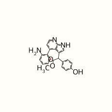 COC(=O)C(c1ccc(O)cc1)c1c[nH]c2nccc(-c3ccccc3N)c12